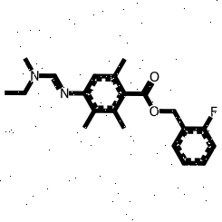 CCN(C)/C=N/c1cc(C)c(C(=O)OCc2ccccc2F)c(C)c1C